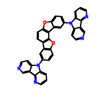 c1cnc2c3cnccc3n(-c3ccc4oc5c(ccc6oc7ccc(-n8c9ccncc9c9ncccc98)cc7c65)c4c3)c2c1